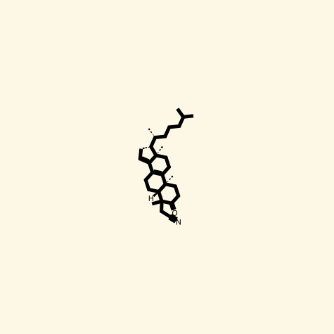 CC(C)CCC[C@@H](C)[C@H]1CC=C2C3=C(CC[C@@]21C)[C@@]1(C)CCC(=O)C(C)(CC#N)[C@@H]1CC3